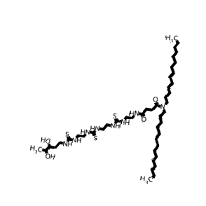 CCCCCCCCCCCCCCN(CCCCCCCCCCCCCC)C(=O)CCC(=O)NCCNC(=S)NCCNC(=S)NCCNC(=S)NCCC(O)C(C)O